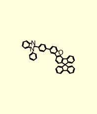 c1ccc(-n2c(-c3ccc(-c4ccc5oc6c7c(ccc6c5c4)C4(c5ccccc5-c5ccccc54)c4ccccc4-7)cc3)nc3ccccc32)cc1